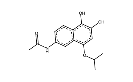 CC(=O)Nc1ccc2c(O)c(O)cc(OC(C)C)c2c1